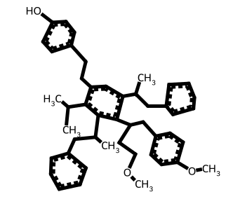 COCCC(Cc1ccc(OC)cc1)c1c([C](C)Cc2ccccc2)cc(CCc2ccc(O)cc2)c(C(C)C)c1C(C)Cc1ccccc1